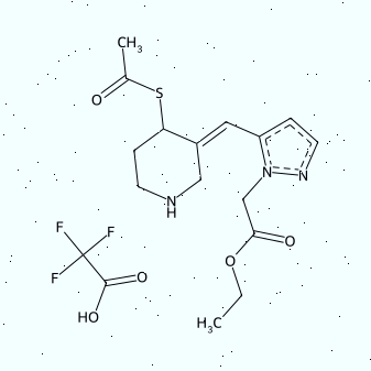 CCOC(=O)Cn1nccc1C=C1CNCCC1SC(C)=O.O=C(O)C(F)(F)F